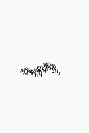 Cc1cc(-n2ncc3cc(NC(=O)NCc4cnn(-c5ccc(F)cc5)c4)ncc32)ccn1